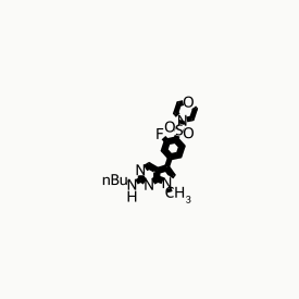 CCCCNc1ncc2c(-c3ccc(S(=O)(=O)N4CCOCC4)c(F)c3)cn(C)c2n1